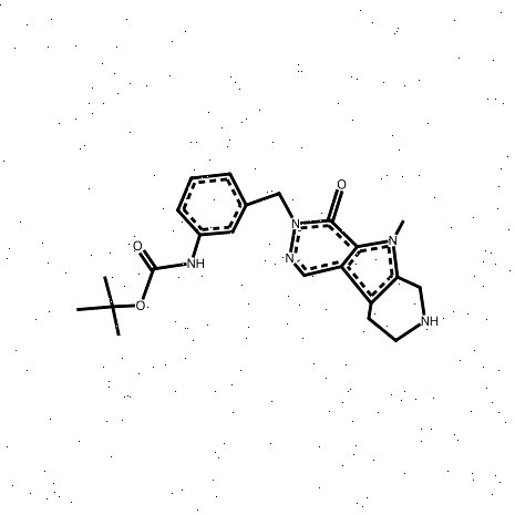 Cn1c2c(c3cnn(Cc4cccc(NC(=O)OC(C)(C)C)c4)c(=O)c31)CCNC2